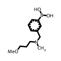 COCCCN(C)Cc1cccc(B(O)O)c1